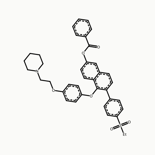 CCS(=O)(=O)c1ccc(-c2ccc3cc(OC(=O)c4ccccc4)ccc3c2Oc2ccc(OCCN3CCCCC3)cc2)cc1